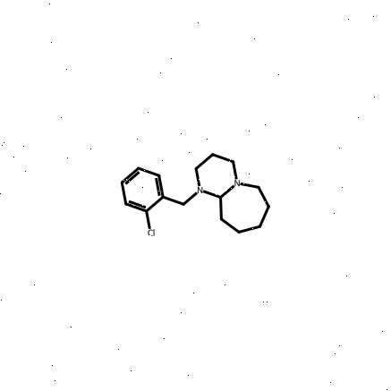 Clc1ccccc1CN1CCCN2CCCCCC21